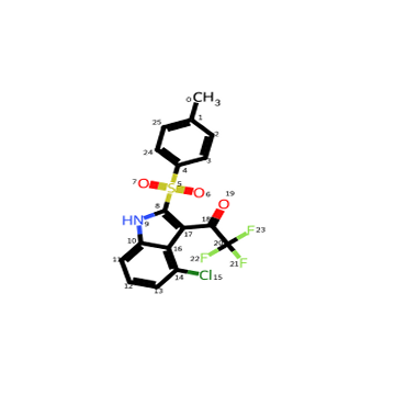 Cc1ccc(S(=O)(=O)c2[nH]c3cccc(Cl)c3c2C(=O)C(F)(F)F)cc1